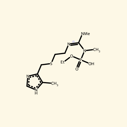 CCOP(=O)(O)N(C)/C(=N\CCSCc1nc[nH]c1C)NC